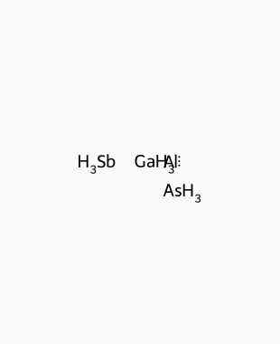 [Al].[AsH3].[GaH3].[SbH3]